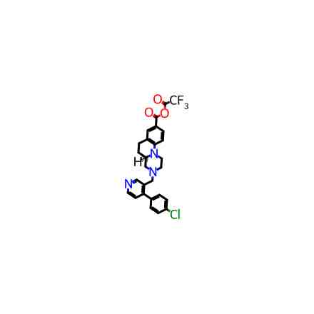 O=C(OC(=O)C(F)(F)F)c1ccc2c(c1)CC[C@@H]1CN(Cc3cnccc3-c3ccc(Cl)cc3)CCN21